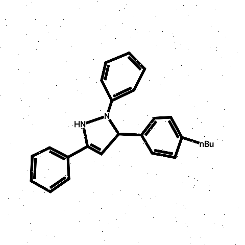 CCCCc1ccc(C2C=C(c3ccccc3)NN2c2ccccc2)cc1